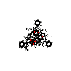 CC(CC[Si](C)(C)O[Si](O[Si](C)(C)CC[Si](C)(C)O[Si](O[Si]1(C)CC1CC[Si](C)(C)O[Si](O[SiH](C)C)(c1ccccc1)c1ccccc1)(c1ccccc1)c1ccccc1)(c1ccccc1)c1ccccc1)[Si](C)(C)O[Si](C)(c1ccccc1)c1ccccc1